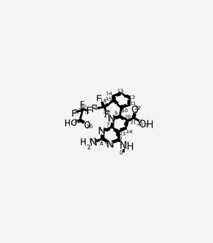 CNc1nc(N)nc2nc(-c3ccccc3C(F)(F)F)c(C(=O)O)cc12.O=C(O)C(F)(F)F